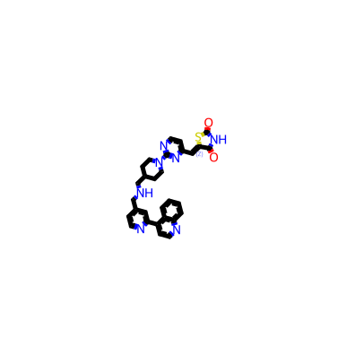 O=C1NC(=O)/C(=C/c2ccnc(N3CCC(CNCc4ccnc(-c5ccnc6ccccc56)c4)CC3)n2)S1